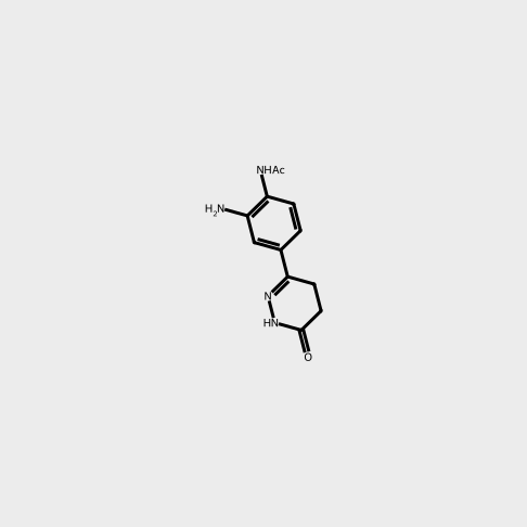 CC(=O)Nc1ccc(C2=NNC(=O)CC2)cc1N